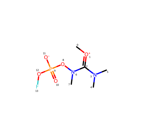 C[O+]=C(N(C)C)N(C)OP(=O)([O-])OF